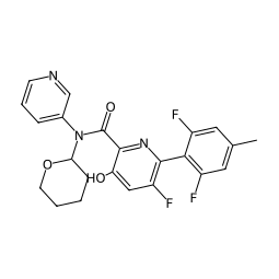 Cc1cc(F)c(-c2nc(C(=O)N(c3cccnc3)C3CCCCO3)c(O)cc2F)c(F)c1